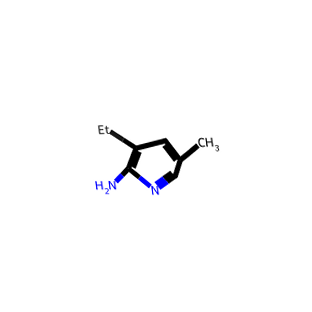 CCc1cc(C)cnc1N